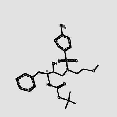 COCCN(CC(O)[C@H](Cc1ccccc1)NC(=O)OC(C)(C)C)S(=O)(=O)c1ccc(N)cc1